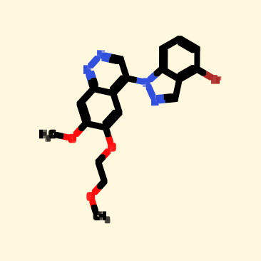 COCCOc1cc2c(-n3ncc4c(Br)cccc43)cnnc2cc1OC